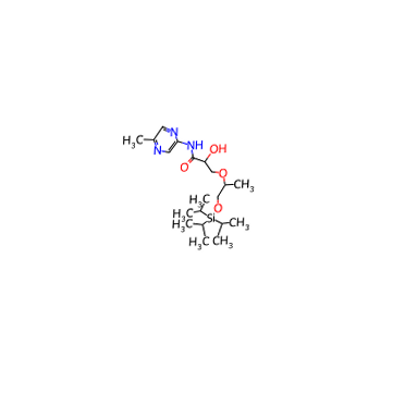 Cc1cnc(NC(=O)C(O)COC(C)CO[Si](C(C)C)(C(C)C)C(C)C)cn1